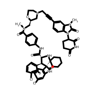 CN(C[C@@H]1CN(CC#Cc2ccc3c(c2)n(C)c(=O)n3C2CCC(=O)NC2=O)CCO1)C(=O)c1ccc(NC(=O)[C@@H]2NC3(CCCCC3)[C@@]3(C(=O)Nc4cc(Cl)ccc43)[C@H]2c2cccc(Cl)c2F)cc1